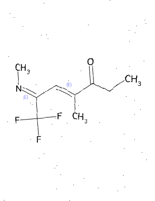 CCC(=O)/C(C)=C/C(=N\C)C(F)(F)F